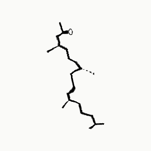 CC(=O)C[C@H](C)CCC[C@H](C)CCC[C@H](C)CCCC(C)C